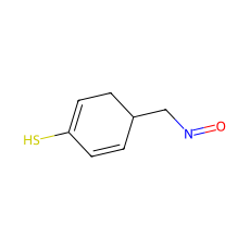 O=NCC1C=CC(S)=CC1